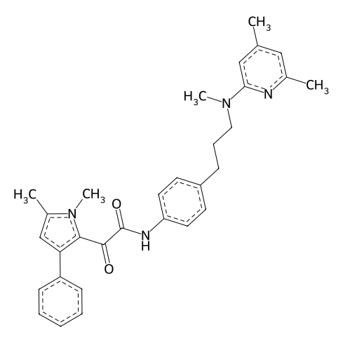 Cc1cc(C)nc(N(C)CCCc2ccc(NC(=O)C(=O)c3c(-c4ccccc4)cc(C)n3C)cc2)c1